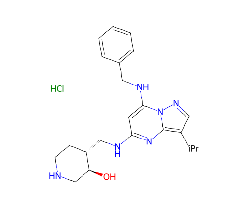 CC(C)c1cnn2c(NCc3ccccc3)cc(NC[C@H]3CCNC[C@@H]3O)nc12.Cl